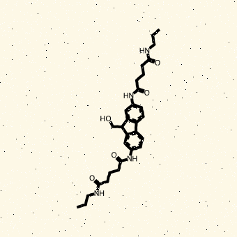 CCCNC(=O)CCCC(=O)Nc1ccc2c(c1)C(CO)c1cc(NC(=O)CCCC(=O)NCCC)ccc1-2